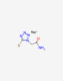 NC(=O)Cn1nnnc1[S-].[Na+]